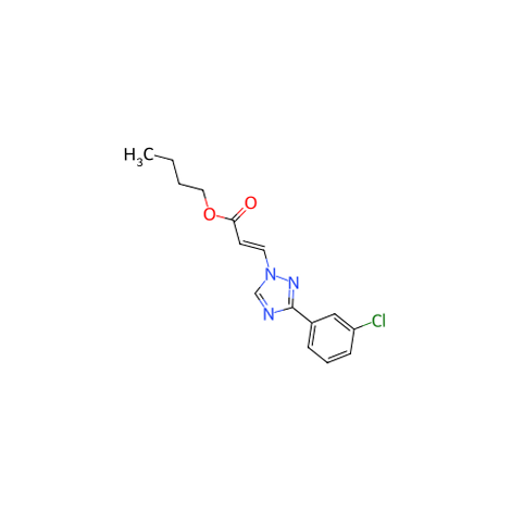 CCCCOC(=O)/C=C/n1cnc(-c2cccc(Cl)c2)n1